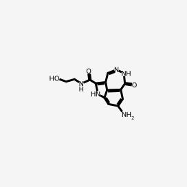 Nc1cc2c3c(c(C(=O)NCCO)[nH]c3c1)C=NNC2=O